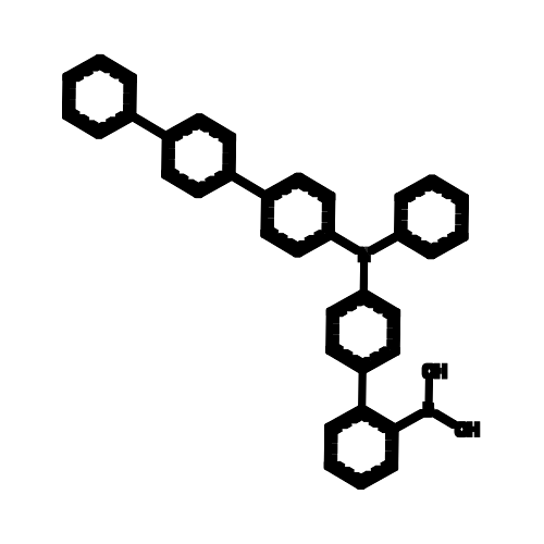 OB(O)c1ccccc1-c1ccc(N(c2ccccc2)c2ccc(-c3ccc(-c4ccccc4)cc3)cc2)cc1